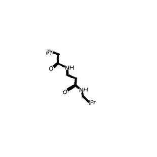 CC(C)CNC(=O)CCNC(=O)CC(C)C